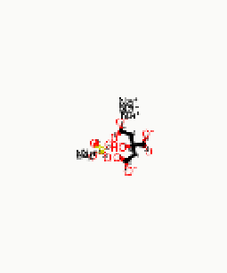 O=C([O-])CC(O)(CC(=O)[O-])C(=O)[O-].O=S(=O)([O-])[O-].[Na+].[Na+].[Na+].[Na+].[Na+]